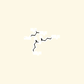 CSCCC(N)C(=O)O.O=C(O)CCCC(=O)OC(=O)CCCC(=O)O